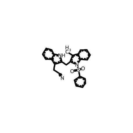 Cc1c(Cc2[nH]c3ccccc3c2CC#N)n(S(=O)(=O)c2ccccc2)c2ccccc12